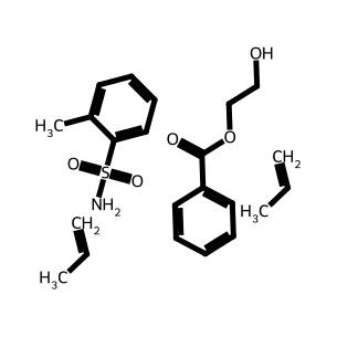 C=CC.C=CC.Cc1ccccc1S(N)(=O)=O.O=C(OCCO)c1ccccc1